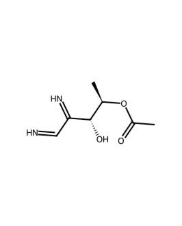 CC(=O)O[C@H](C)[C@H](O)C(=N)C=N